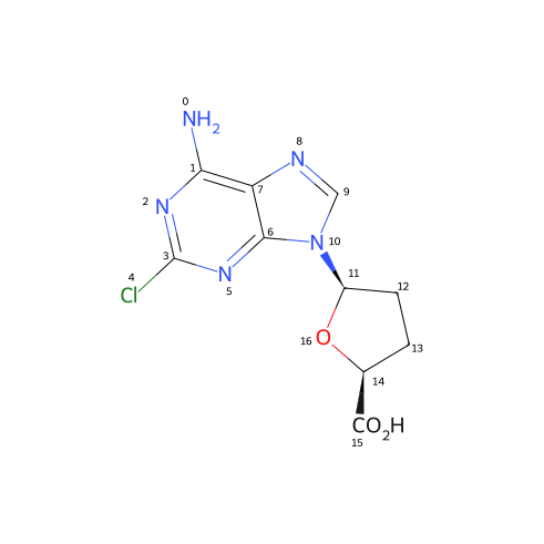 Nc1nc(Cl)nc2c1ncn2[C@H]1CC[C@@H](C(=O)O)O1